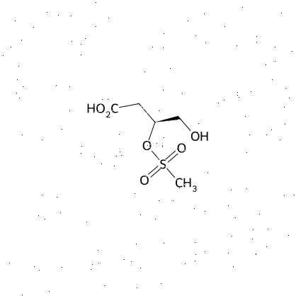 CS(=O)(=O)O[C@H](CO)CC(=O)O